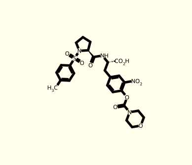 Cc1ccc(S(=O)(=O)N2CCC[C@H]2C(=O)N[C@@H](Cc2ccc(OC(=O)N3CCOCC3)c([N+](=O)[O-])c2)C(=O)O)cc1